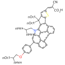 CCCCCCCCC(CCCCCC)COc1ccc(-c2cc3c4c5c2cccc5c2cccc5c6c(c(c4c52)n3CC(CCCCCC)CCCCCC)C(CCCCCCCC)(CCCCCCCC)c2cc(C=C(C#N)C(=O)O)sc2-6)cc1